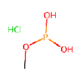 COP(O)O.Cl